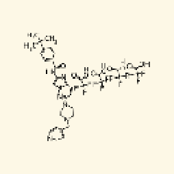 CC(C)(C)c1ccc(C(=O)Nc2cn3nc(N4CCN(Cc5ccncc5)CC4)ccc3n2)cc1.O=C(O)C(F)(F)F.O=C(O)C(F)(F)F.O=C(O)C(F)(F)F.O=C(O)C(F)(F)F